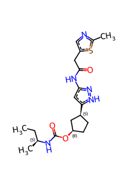 CC[C@H](C)NC(=O)O[C@@H]1CC[C@H](c2cc(NC(=O)Cc3cnc(C)s3)n[nH]2)C1